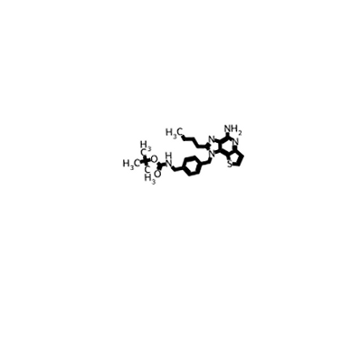 CCCCc1nc2c(N)nc3ccsc3c2n1Cc1ccc(CNC(=O)OC(C)(C)C)cc1